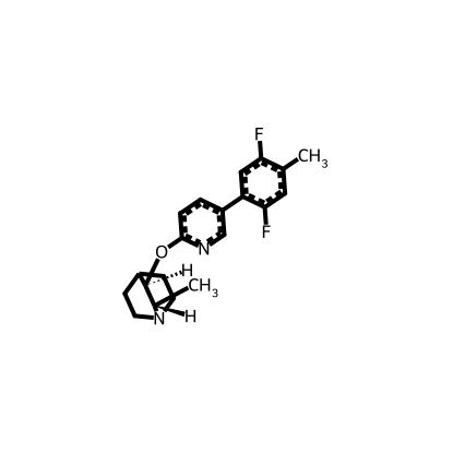 Cc1cc(F)c(-c2ccc(O[C@@H]3C4CCN(CC4)[C@H]3C)nc2)cc1F